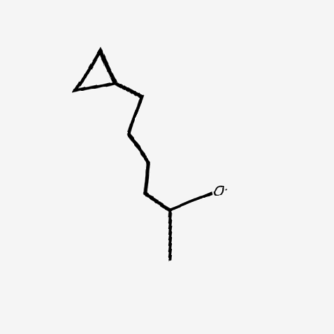 CC([O])CCCCC1CC1